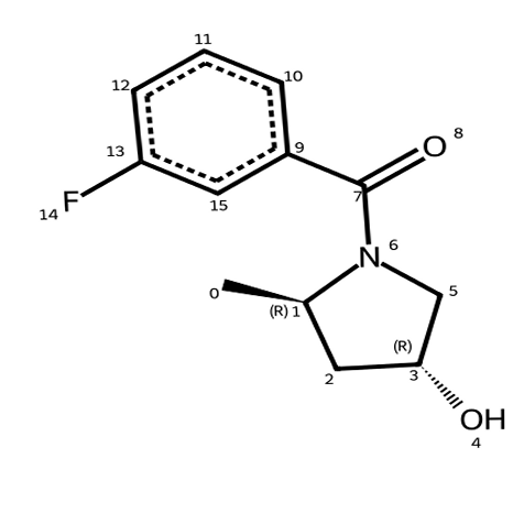 C[C@@H]1C[C@@H](O)CN1C(=O)c1cccc(F)c1